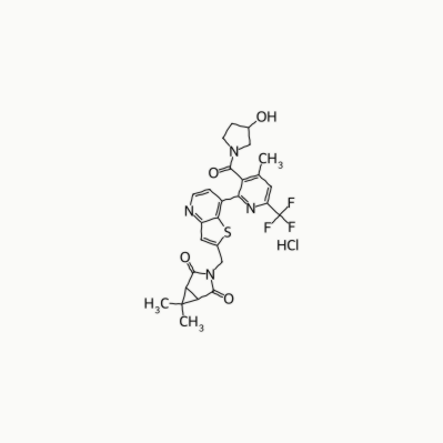 Cc1cc(C(F)(F)F)nc(-c2ccnc3cc(CN4C(=O)C5C(C4=O)C5(C)C)sc23)c1C(=O)N1CCC(O)C1.Cl